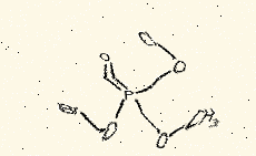 COP(=O)(OCl)OBr